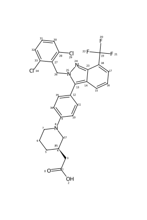 O=C(O)C[C@H]1CCCN(c2ccc(-c3c4cccc(C(F)(F)F)c4nn3Cc3c(Cl)cccc3Cl)cc2)C1